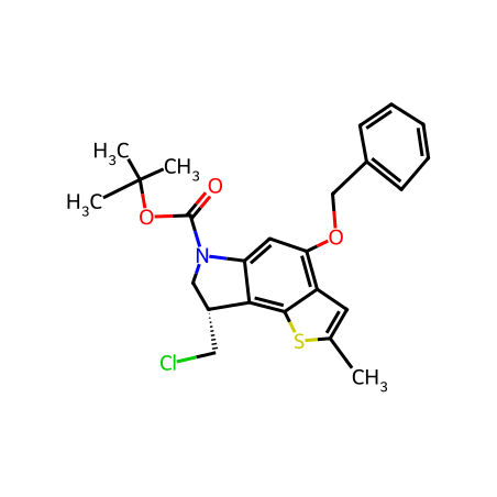 Cc1cc2c(OCc3ccccc3)cc3c(c2s1)[C@H](CCl)CN3C(=O)OC(C)(C)C